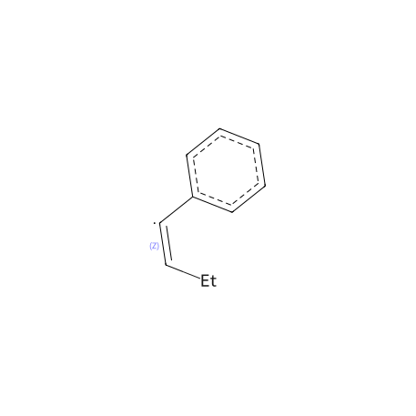 CC/C=[C]\c1ccccc1